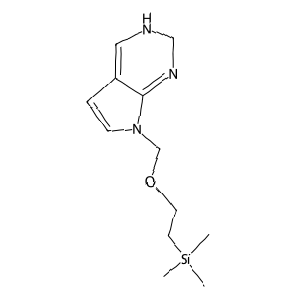 C[Si](C)(C)CCOCn1ccc2c1=NCNC=2